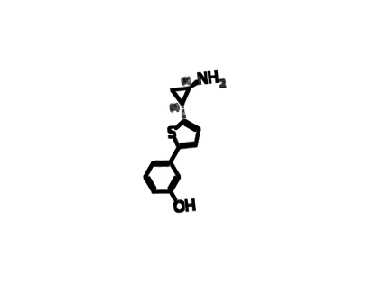 N[C@@H]1C[C@H]1c1ccc(-c2cccc(O)c2)s1